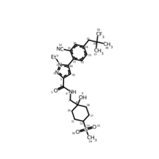 CCn1nc(C(=O)NCC2(O)CCC(S(C)(=O)=O)CC2)cc1-c1ccc(CC(C)(C)C(F)(F)F)cc1C#N